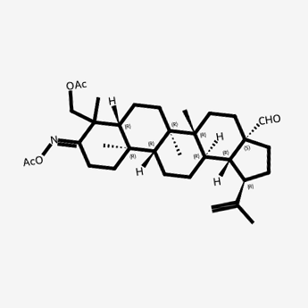 C=C(C)[C@@H]1CC[C@]2(C=O)CC[C@]3(C)[C@H](CC[C@@H]4[C@@]5(C)CCC(=NOC(C)=O)C(C)(COC(C)=O)[C@@H]5CC[C@]43C)[C@@H]12